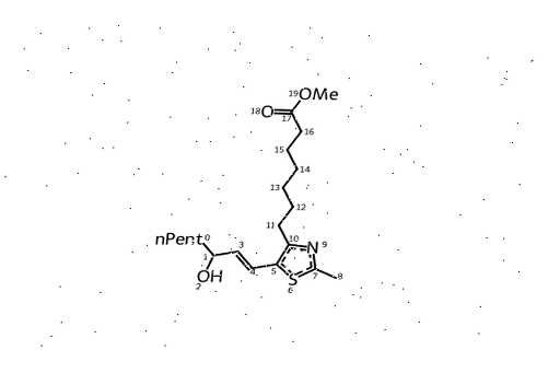 CCCCCC(O)C=Cc1sc(C)nc1CCCCCCC(=O)OC